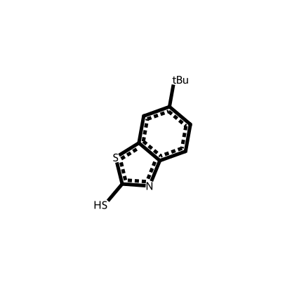 CC(C)(C)c1ccc2nc(S)sc2c1